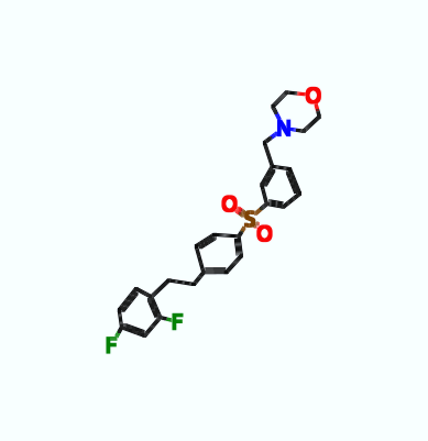 O=S(=O)(c1ccc(CCc2ccc(F)cc2F)cc1)c1cccc(CN2CCOCC2)c1